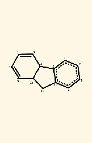 [C]1=CC=CC2c3ccccc3CC12